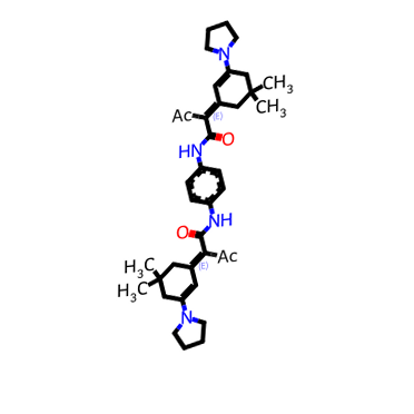 CC(=O)/C(C(=O)Nc1ccc(NC(=O)/C(C(C)=O)=C2/C=C(N3CCCC3)CC(C)(C)C2)cc1)=C1\C=C(N2CCCC2)CC(C)(C)C1